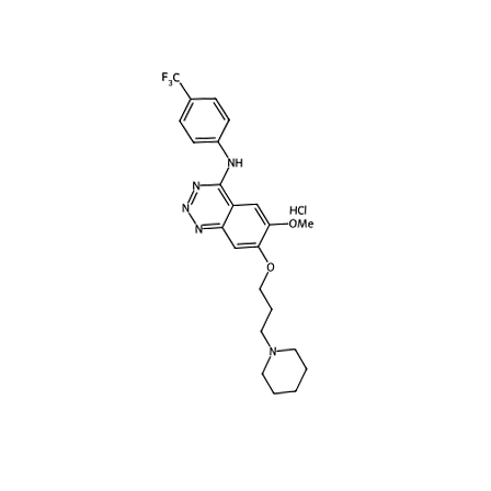 COc1cc2c(Nc3ccc(C(F)(F)F)cc3)nnnc2cc1OCCCN1CCCCC1.Cl